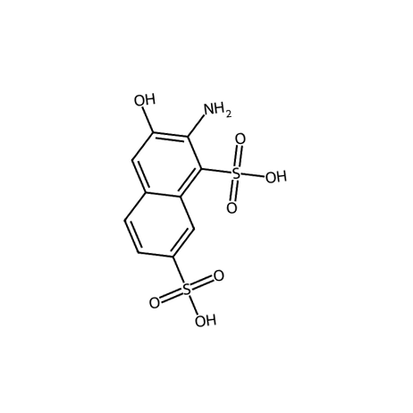 Nc1c(O)cc2ccc(S(=O)(=O)O)cc2c1S(=O)(=O)O